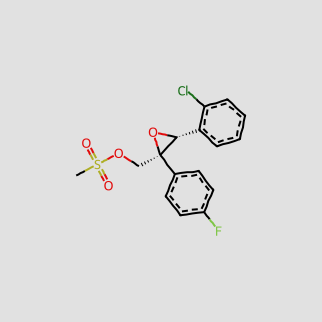 CS(=O)(=O)OC[C@]1(c2ccc(F)cc2)O[C@@H]1c1ccccc1Cl